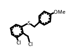 COc1ccc(CSc2cccc(Cl)c2CCl)cc1